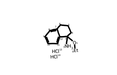 CCOC1(N)CCCc2ccccc21.Cl.Cl